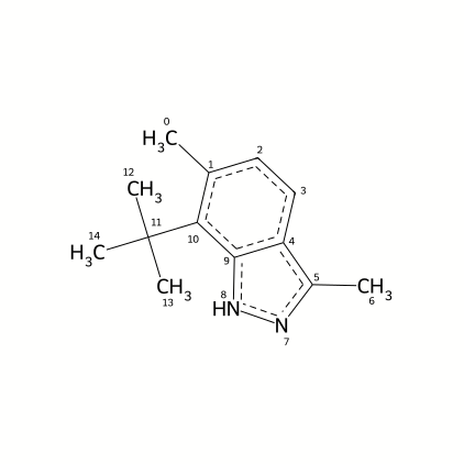 Cc1ccc2c(C)n[nH]c2c1C(C)(C)C